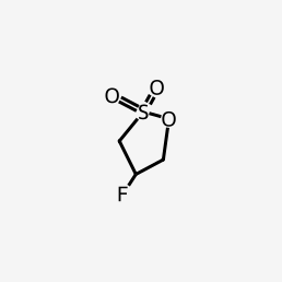 O=S1(=O)CC(F)CO1